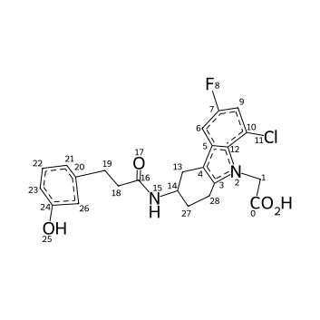 O=C(O)Cn1c2c(c3cc(F)cc(Cl)c31)CC(NC(=O)CCc1cccc(O)c1)CC2